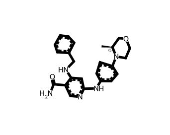 C[C@H]1COCCN1c1ccc(Nc2cc(NCc3ccccc3)c(C(N)=O)cn2)cc1